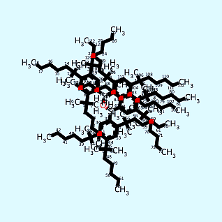 CCCCCC(C)(C)c1cc(C(C)(C)CCCCC)c(C(C)(C)CCCCC)cc1[SiH](O[SiH](c1cc(C(C)(C)CCCCC)c(C(C)(C)CCCCC)cc1C(C)(C)CCCCC)c1cc(C(C)(C)CCCCC)c(C(C)(C)CCCCC)cc1C(C)(C)CCCCC)c1cc(C(C)(C)CCCCC)c(C(C)(C)CCCCC)cc1C(C)(C)CCCCC